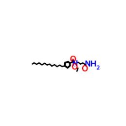 CCCCCCCCCCCCCc1ccc(C(=O)N(CCCC(N)=O)OCC)cc1